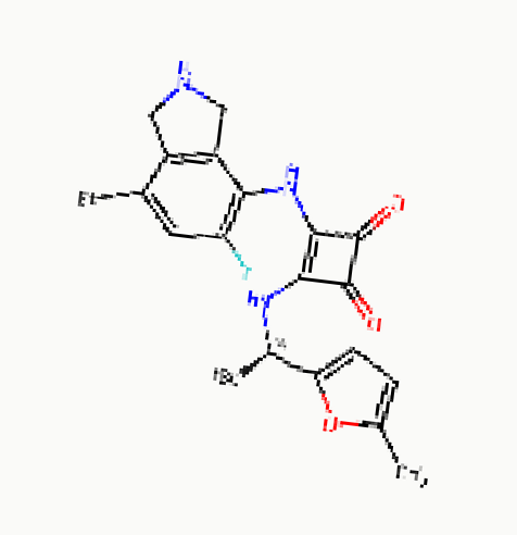 CCc1cc(F)c(Nc2c(N[C@@H](c3ccc(C)o3)C(C)(C)C)c(=O)c2=O)c2c1CNC2